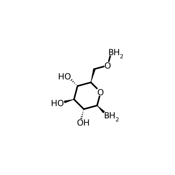 BOC[C@H]1O[C@@H](B)[C@H](O)[C@@H](O)[C@@H]1O